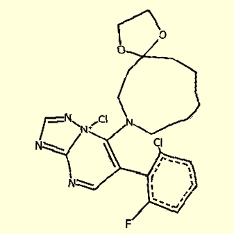 Fc1cccc(Cl)c1C1=C(N2CCCCCC3(CC2)OCCO3)[N+]2(Cl)N=CN=C2N=C1